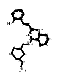 Cc1ccccc1/C=C/c1nc(NCC2CCCC(CN)C2)c2ccccc2n1